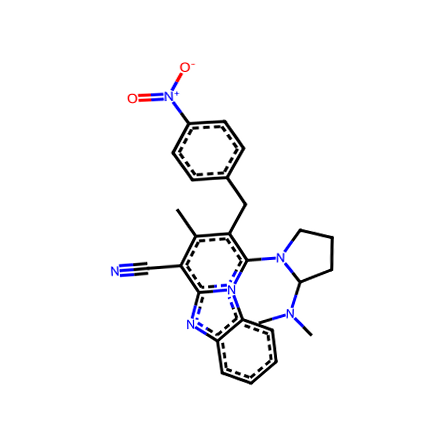 Cc1c(Cc2ccc([N+](=O)[O-])cc2)c(N2CCCC2N(C)C)n2c(nc3ccccc32)c1C#N